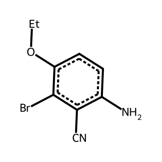 CCOc1ccc(N)c(C#N)c1Br